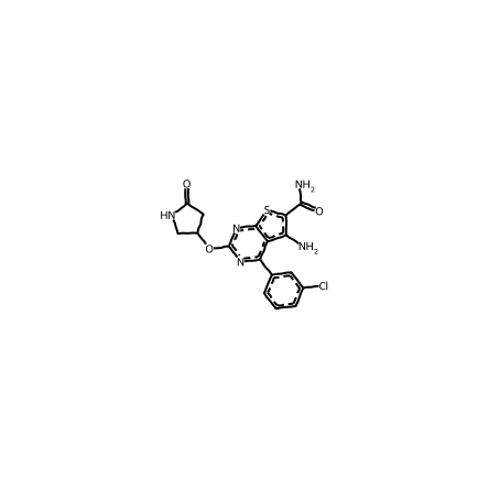 NC(=O)c1sc2nc(OC3CNC(=O)C3)nc(-c3cccc(Cl)c3)c2c1N